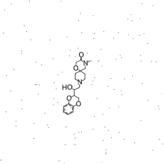 CN1CC2(CCN(CC(O)C3COc4ccccc4O3)CC2)OCC1=O